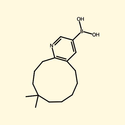 CC1(C)CCCCCc2cc(B(O)O)cnc2CCC1